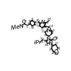 CNC(=O)Cc1ccc(Sc2ccc(CN3CCC(N4C(=O)N(C5CCOCC5)C[C@H]4CC(C)C)CC3)c(C)n2)cc1